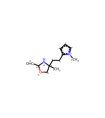 Cn1cccc1CCC1(C)COC(C=O)N1